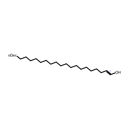 CCCCCCCCCCCCCCCCCCCCCCCCCCC/C=C/O